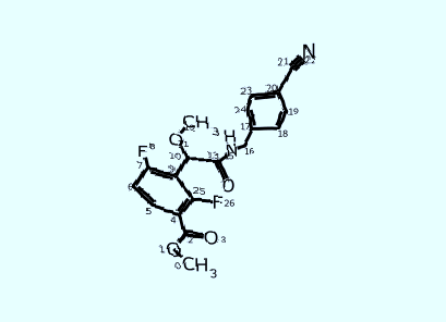 COC(=O)c1ccc(F)c(C(OC)C(=O)NCc2ccc(C#N)cc2)c1F